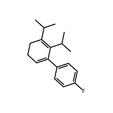 CC(C)C1=C(C(C)C)C(c2ccc(F)cc2)=CCC1